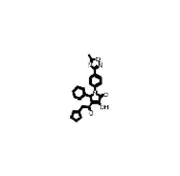 Cc1nc(-c2ccc(N3C(=O)C(O)=C(C(=O)CC4CCCC4)C3C3CCCCC3)cc2)no1